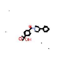 O=C(c1ccc(C2(O)COC2)cc1)N1CCC(c2ccccc2)CC1